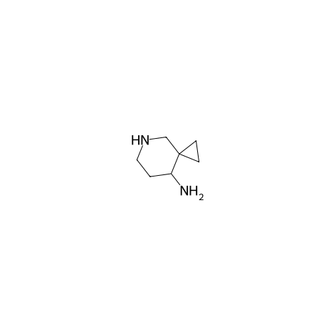 NC1CCNCC12CC2